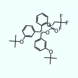 CC(C)(C)Oc1cccc(S(OS(=O)(=O)CC(F)(F)F)(c2ccccc2)c2cccc(OC(C)(C)C)c2)c1